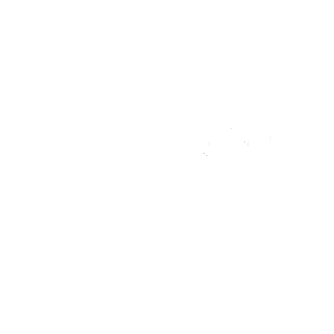 C=C(c1ccc(C#Cc2ccc(F)cc2)cn1)N(C)C(C)(C)C